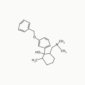 CC1CCCC(CN(C)C)C1(O)c1cccc(OCc2ccccc2)c1